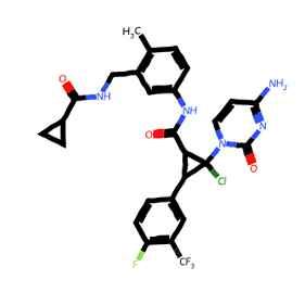 Cc1ccc(NC(=O)C2C(c3ccc(F)c(C(F)(F)F)c3)C2(Cl)n2ccc(N)nc2=O)cc1CNC(=O)C1CC1